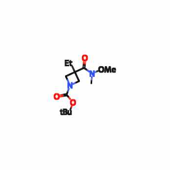 CCC1(C(=O)N(C)OC)CN(C(=O)OC(C)(C)C)C1